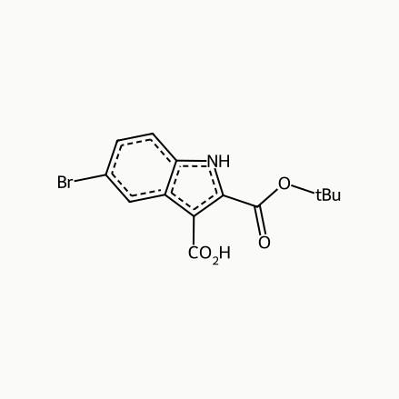 CC(C)(C)OC(=O)c1[nH]c2ccc(Br)cc2c1C(=O)O